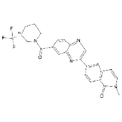 Cn1ccc2cc(-c3cnc4ccc(C(=O)N5CCC[C@@H](C(F)(F)F)C5)cc4n3)ccc2c1=O